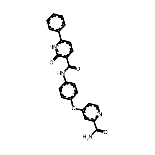 NC(=O)c1cc(Oc2ccc(NC(=O)c3ccc(-c4ccccc4)[nH]c3=O)cc2)ccn1